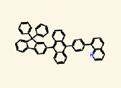 c1ccc(C2(c3ccccc3)c3ccccc3-c3ccc(-c4c5ccccc5c(-c5ccc(-c6cccc7cccnc67)cc5)c5ccccc45)cc32)cc1